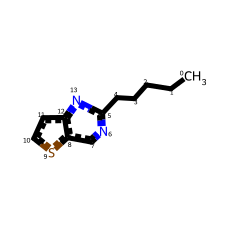 CCCCCc1ncc2sccc2n1